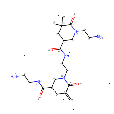 C=C1CC(C(=O)NCCN)CN(CCNC(=O)C2CN(CCN)C(=O)C(C)(C)C2)C1=O